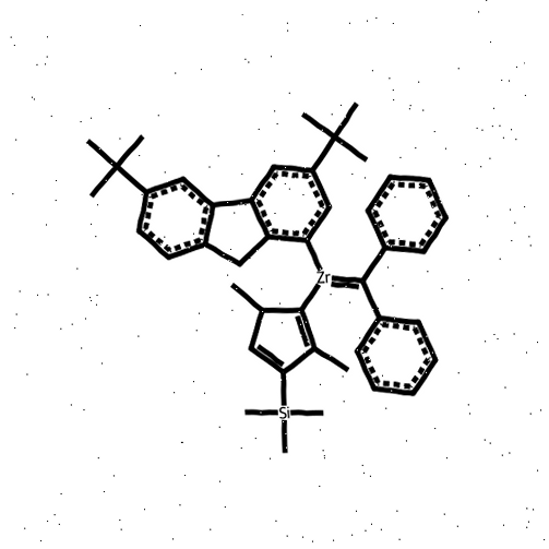 CC1=[C]([Zr](=[C](c2ccccc2)c2ccccc2)[c]2cc(C(C)(C)C)cc3c2Cc2ccc(C(C)(C)C)cc2-3)C(C)C=C1[Si](C)(C)C